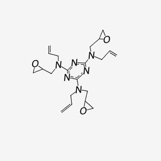 C=CCN(CC1CO1)c1nc(N(CC=C)CC2CO2)nc(N(CC=C)CC2CO2)n1